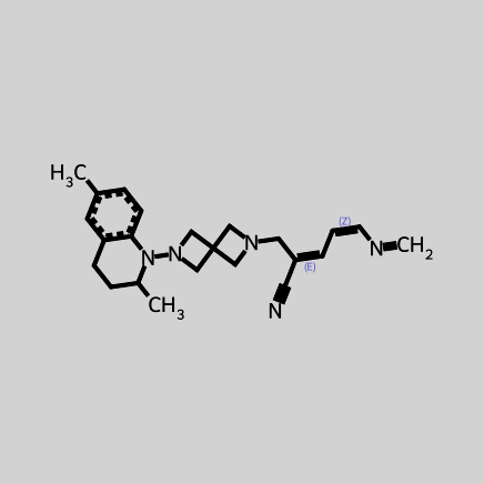 C=N/C=C\C=C(\C#N)CN1CC2(C1)CN(N1c3ccc(C)cc3CCC1C)C2